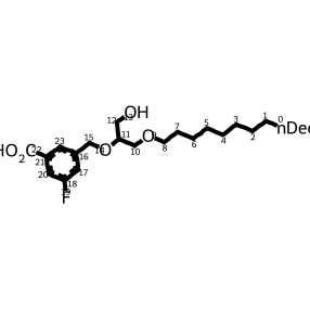 CCCCCCCCCCCCCCCCCCOCC(CO)OCc1cc(F)cc(C(=O)O)c1